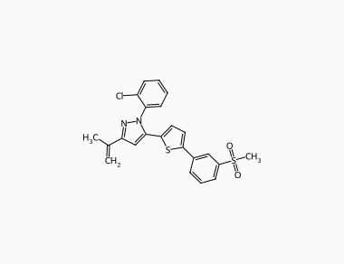 C=C(C)c1cc(-c2ccc(-c3cccc(S(C)(=O)=O)c3)s2)n(-c2ccccc2Cl)n1